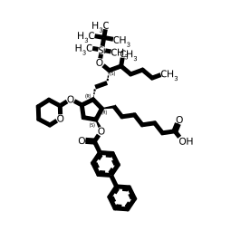 CCCCC(C)[C@H](CC[C@H]1C(OC2CCCCO2)C[C@H](OC(=O)c2ccc(-c3ccccc3)cc2)[C@@H]1CCCCCCC(=O)O)O[Si](C)(C)C(C)(C)C